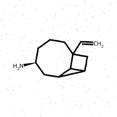 C=CC12CCC[C@H](N)CC3C(C1)C32